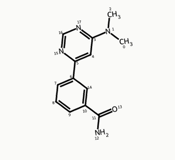 CN(C)c1cc(-c2cccc(C(N)=O)c2)ncn1